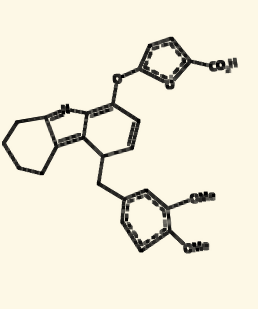 COc1ccc(CC2C=CC(Oc3ccc(C(=O)O)o3)=C3N=C4CCCCC4=C32)cc1OC